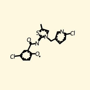 COc1ccc(Cl)cc1C(=O)/N=c1\sc(C)cn1Cc1ccc(Cl)nc1